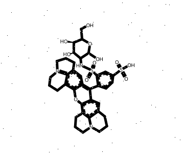 O=S(=O)(O)c1ccc(C2=c3cc4c5c(c3Oc3c2cc2c6c3CCCN6CCC2)CCC[N+]=5CCC4)c(S(=O)(=O)NC2C(O)OC(CO)[C@H](O)[C@H]2O)c1